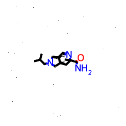 CC(C)CN1CC2CC3(C(N)=O)CC1C2C=N3